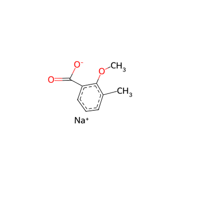 COc1c(C)cccc1C(=O)[O-].[Na+]